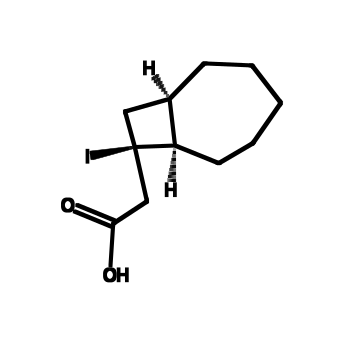 O=C(O)C[C@]1(I)C[C@H]2CCCCC[C@H]21